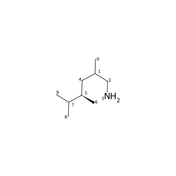 CC(CN)C[C@@H](C)C(C)C